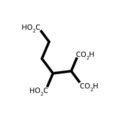 O=C(O)CCC(C(=O)O)C(C(=O)O)C(=O)O